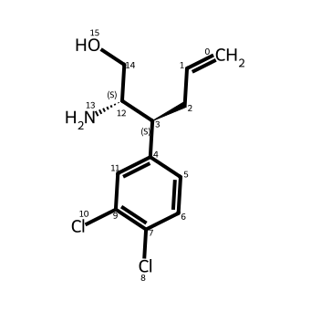 C=CC[C@@H](c1ccc(Cl)c(Cl)c1)[C@H](N)CO